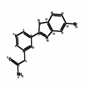 NC(=O)Cc1cncc(-c2nc3cc(Br)ccc3s2)c1